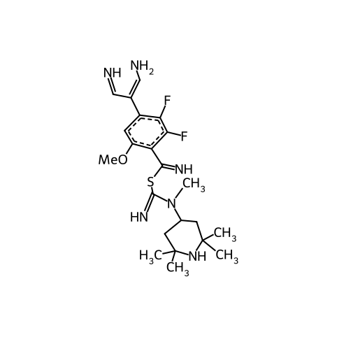 COc1cc(/C(C=N)=C/N)c(F)c(F)c1C(=N)SC(=N)N(C)C1CC(C)(C)NC(C)(C)C1